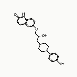 CC(C)c1ccc(N2CCN(C[C@@H](O)COc3ccc4[nH]c(=O)ccc4c3)CC2)cc1